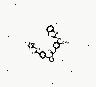 COc1cc(CC(=O)N2CCCC2c2ccc(C(=O)Nc3nnn[nH]3)cc2)ccc1NC(=O)Nc1ccccc1C